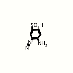 N#[N+]c1cc(S(=O)(=O)O)ccc1N